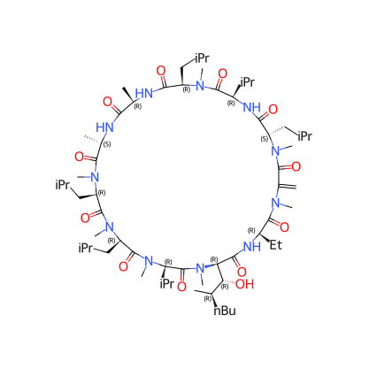 C=C1C(=O)N(C)[C@@H](CC(C)C)C(=O)N[C@H](C(C)C)C(=O)N(C)[C@H](CC(C)C)C(=O)N[C@H](C)C(=O)N[C@@H](C)C(=O)N(C)[C@H](CC(C)C)C(=O)N(C)[C@H](CC(C)C)C(=O)N(C)[C@H](C(C)C)C(=O)N(C)[C@H]([C@H](O)[C@H](C)CCCC)C(=O)N[C@H](CC)C(=O)N1C